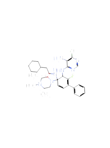 C[C@@H]1CN(C2(NC(=O)CC3CCCCC3)C=CC(c3ccccc3)=C(F)C2Nc2ncnc(Cl)c2N)C[C@H](C)N1C